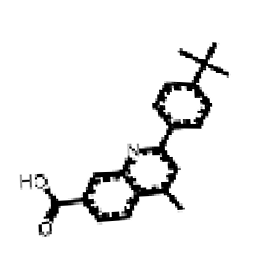 Cc1cc(-c2ccc(C(C)(C)C)cc2)nc2cc(C(=O)O)ccc12